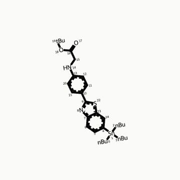 CCC[CH2][Sn]([CH2]CCC)([CH2]CCC)[c]1ccc2nc(-c3ccc(NCC(=O)OC(C)(C)C)cc3)sc2c1